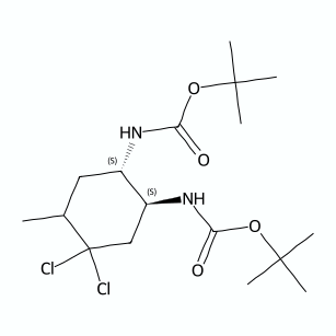 CC1C[C@H](NC(=O)OC(C)(C)C)[C@@H](NC(=O)OC(C)(C)C)CC1(Cl)Cl